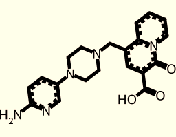 Nc1ccc(N2CCN(Cc3cc(C(=O)O)c(=O)n4ccccc34)CC2)cn1